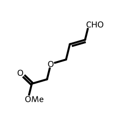 COC(=O)COCC=CC=O